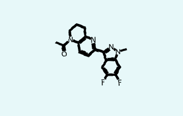 CC(=O)N1CCCc2nc(-c3nn(C)c4cc(F)c(F)cc34)ccc21